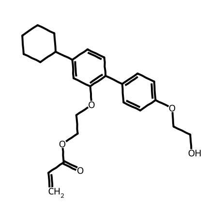 C=CC(=O)OCCOc1cc(C2CCCCC2)ccc1-c1ccc(OCCO)cc1